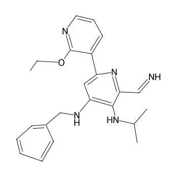 CCOc1ncccc1-c1cc(NCc2ccccc2)c(NC(C)C)c(C=N)n1